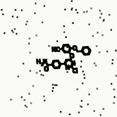 N#Cc1ccc(OCc2ccccc2)c(Oc2cc(-c3ccc(C(N)=O)cc3)nc(Cl)n2)c1